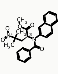 COC(=O)[C@H](CC(C)(C)[N+](=O)[O-])N(C(=O)c1ccccc1)c1ccc2ccccc2c1